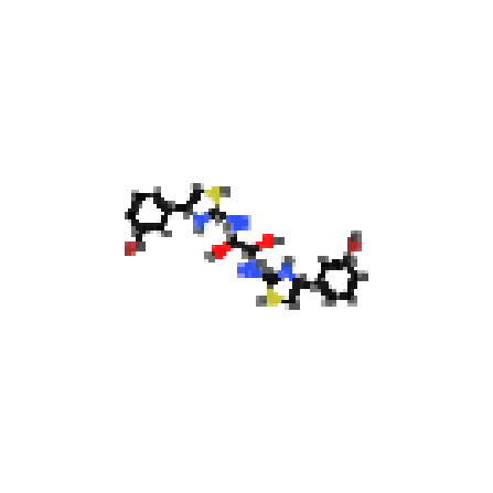 O=C(Nc1nc(-c2cccc(Br)c2)cs1)C(=O)Nc1nc(-c2cccc(Br)c2)cs1